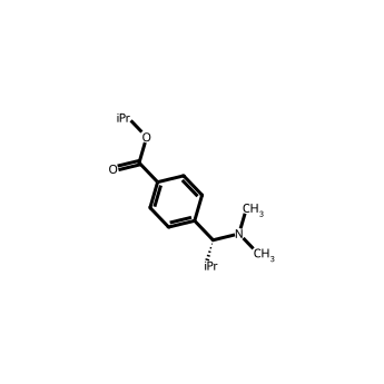 CC(C)OC(=O)c1ccc([C@@H](C(C)C)N(C)C)cc1